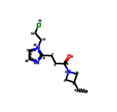 CNC1CN(C(=O)CCc2nccn2CCCl)C1